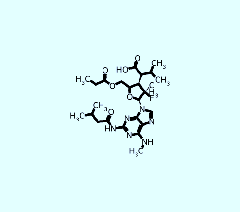 CCC(=O)OCC1O[C@@H](n2cnc3c(NC)nc(NC(=O)CC(C)C)nc32)[C@](C)(F)[C@@H]1C(C(=O)O)C(C)C